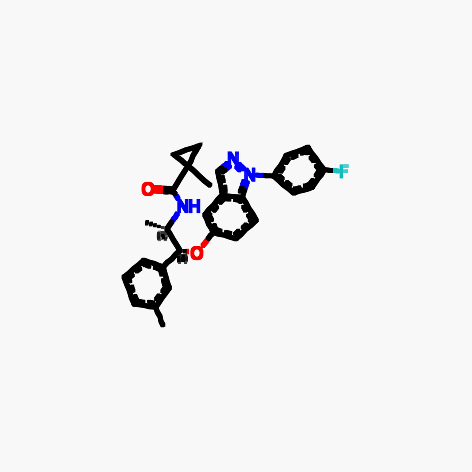 Cc1cccc([C@@H](Oc2ccc3c(cnn3-c3ccc(F)cc3)c2)[C@H](C)NC(=O)C2(C)CC2)c1